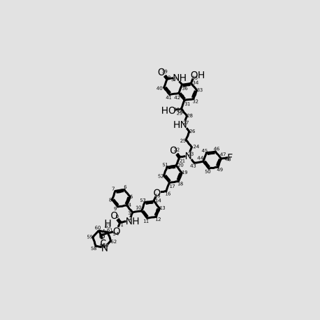 O=C(NC(c1ccccc1)c1cccc(OCc2ccc(C(=O)N(CCCNC[C@@H](O)c3ccc(O)c4[nH]c(=O)ccc34)Cc3ccc(F)cc3)cc2)c1)O[C@H]1CN2CCC1CC2